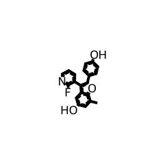 Cc1cc(O)cc2c(-c3cccnc3F)c(-c3ccc(O)cc3)oc12